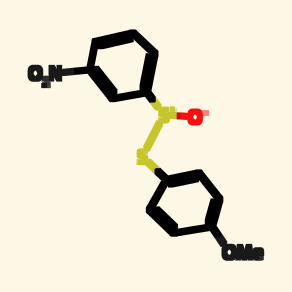 COc1ccc(S[S+]([O-])c2cccc([N+](=O)[O-])c2)cc1